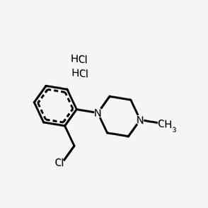 CN1CCN(c2ccccc2CCl)CC1.Cl.Cl